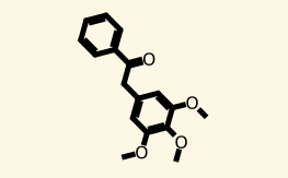 COc1cc(CC(=O)c2ccccc2)cc(OC)c1OC